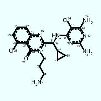 NCCCn1c([C@@H](Nc2nc(N)nc(N)c2Cl)C2CC2)nc2cccc(Cl)c2c1=O